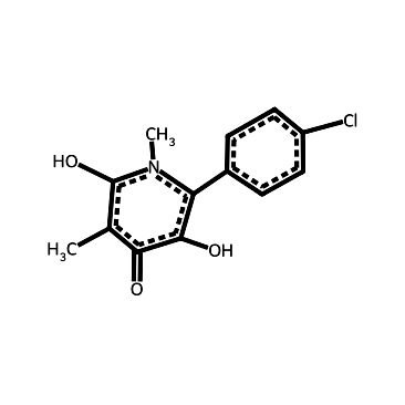 Cc1c(O)n(C)c(-c2ccc(Cl)cc2)c(O)c1=O